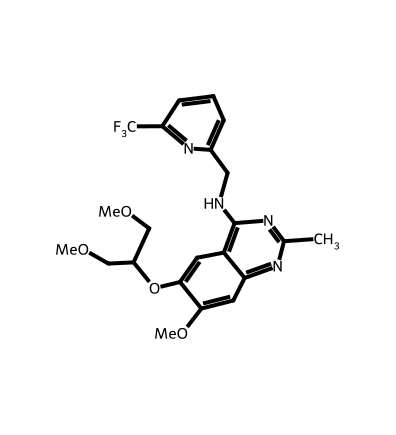 COCC(COC)Oc1cc2c(NCc3cccc(C(F)(F)F)n3)nc(C)nc2cc1OC